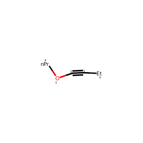 CCC#COCCC